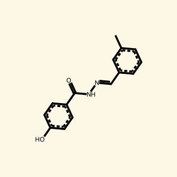 Cc1cccc(C=NNC(=O)c2ccc(O)cc2)c1